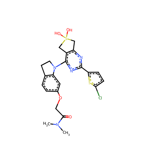 CN(C)C(=O)COc1ccc2c(c1)N(c1nc(-c3ccc(Cl)s3)nc3c1CS(O)(O)C3)CC2